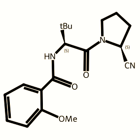 COc1ccccc1C(=O)N[C@H](C(=O)N1CCC[C@H]1C#N)C(C)(C)C